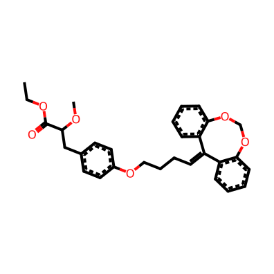 CCOC(=O)C(Cc1ccc(OCCCC=C2c3ccccc3OCOc3ccccc32)cc1)OC